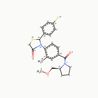 COC[C@@H]1CCCN1C(=O)c1ccc(N2C(=O)CSC2c2ccc(F)cc2)c(C)c1